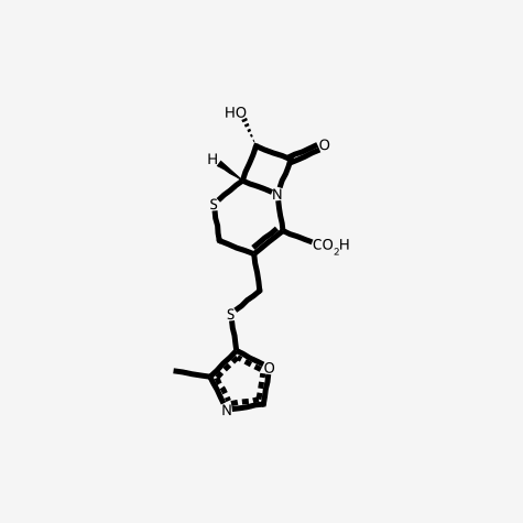 Cc1ncoc1SCC1=C(C(=O)O)N2C(=O)[C@@H](O)[C@H]2SC1